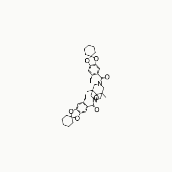 CC12CN(C(=O)c3cc4c(cc3I)OC3(CCCCC3)O4)CC(C)(CN(C(=O)c3cc4c(cc3I)OC3(CCCCC3)O4)C1)C2=O